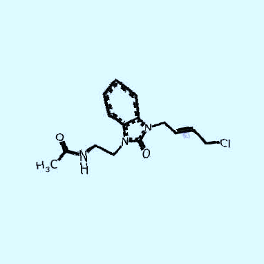 CC(=O)NCCn1c(=O)n(C/C=C/CCl)c2ccccc21